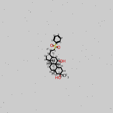 C[C@H](CS(=O)(=O)c1ccccc1)[C@H]1CC[C@H]2[C@@H]3CC[C@@H]4C[C@](O)(C(F)(F)F)CC[C@]4(C)[C@H]3C(O)C[C@]12C